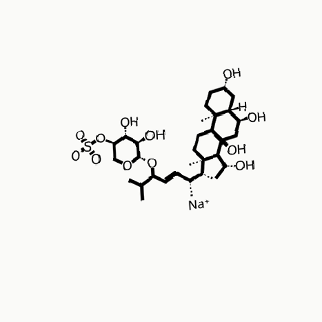 CC(C)C(/C=C/[C@@H](C)[C@H]1C[C@@H](O)C2C3(O)C[C@H](O)[C@H]4C[C@@H](O)CC[C@]4(C)C3CC[C@@]21C)O[C@@H]1OC[C@@H](OS(=O)(=O)[O-])[C@H](O)[C@H]1O.[Na+]